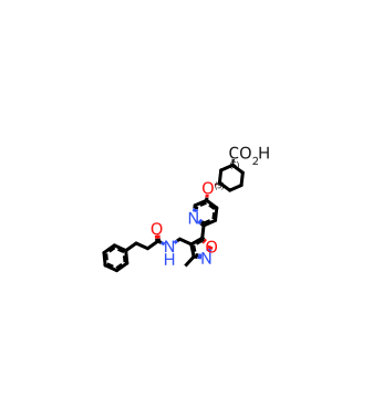 Cc1noc(-c2ccc(O[C@H]3CCC[C@H](C(=O)O)C3)cn2)c1CNC(=O)CCc1ccccc1